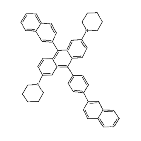 c1ccc2cc(-c3ccc(-c4c5ccc(N6CCCCC6)cc5c(-c5ccc6ccccc6c5)c5ccc(N6CCCCC6)cc45)cc3)ccc2c1